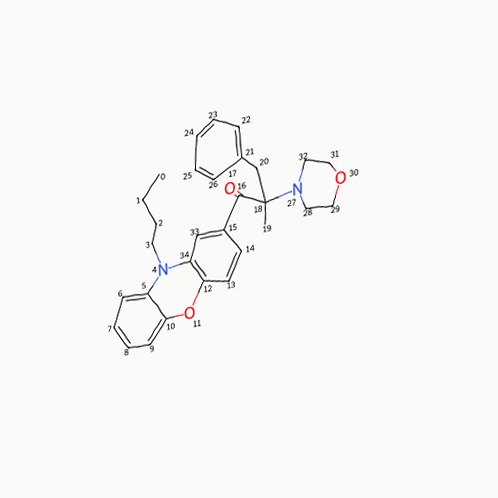 CCCCN1c2ccccc2Oc2ccc(C(=O)C(C)(Cc3ccccc3)N3CCOCC3)cc21